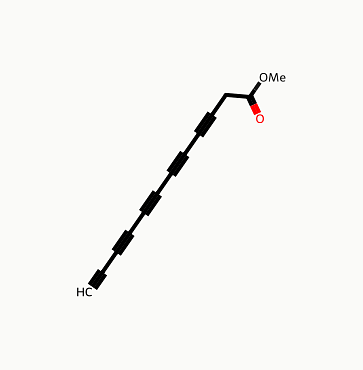 C#CC#CC#CC#CC#CCC(=O)OC